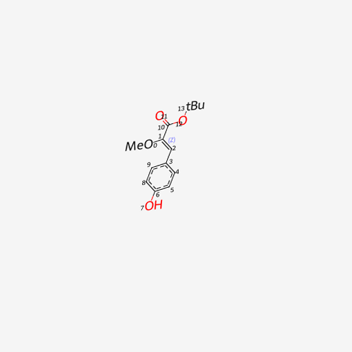 CO/C(=C\c1ccc(O)cc1)C(=O)OC(C)(C)C